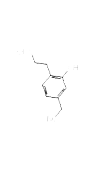 Cc1cc(CC(C)(C)C)ccc1CCC=O